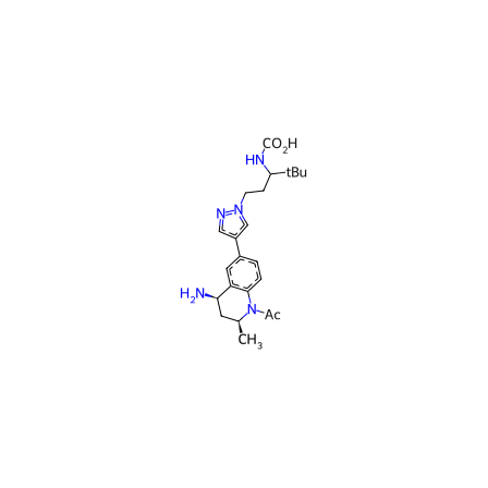 CC(=O)N1c2ccc(-c3cnn(CCC(NC(=O)O)C(C)(C)C)c3)cc2[C@H](N)C[C@@H]1C